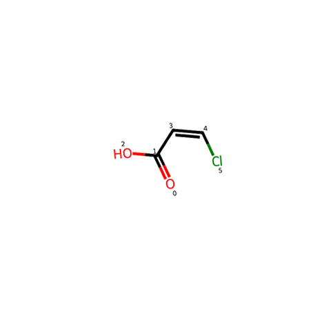 O=C(O)/C=C\Cl